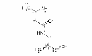 CS[C@@H](C)CNC(=O)CC(C)C